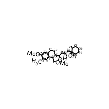 COCC1c2cc(C)c(OC)cc2CCN1C(=O)CNCC1(O)CCCCC1